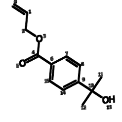 C=CCOC(=O)c1ccc(C(C)(C)O)cc1